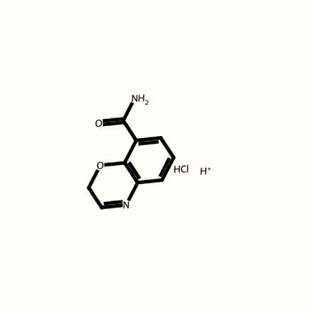 Cl.NC(=O)c1cccc2c1OCC=N2.[H+]